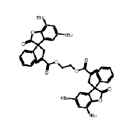 C=C(CC1(c2ccccc2)C(=O)Oc2c(C(C)(C)C)cc(C(C)(C)C)cc21)C(=O)OCCOC(=O)C(=C)CC1(c2ccccc2)C(=O)Oc2c(C(C)(C)C)cc(C(C)(C)C)cc21